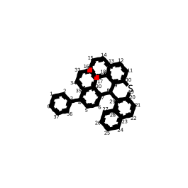 c1ccc(-c2ccc(C3c4c(ccc5ccccc45)Sc4ccc5ccccc5c43)c3ccccc23)cc1